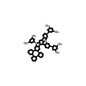 CC(C)(C)c1cc(-c2ccc3c4cc5c(c6cc7c(cc6n5-c5cc(C(C)(C)C)cc(C(C)(C)C)c5)-c5ccccc5-c5ccccc5-c5ccccc5-7)c5c6ccc(-c7cc(C(C)(C)C)cc(C(C)(C)C)c7)cc6n(c3c2)c45)cc(C(C)(C)C)c1